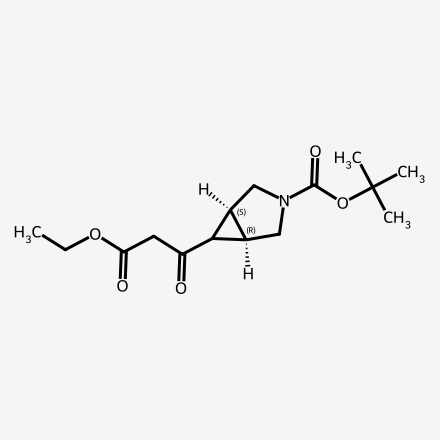 CCOC(=O)CC(=O)C1[C@H]2CN(C(=O)OC(C)(C)C)C[C@@H]12